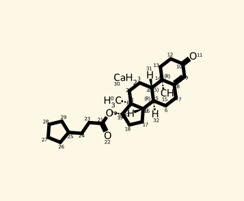 C[C@]12CC[C@H]3[C@@H](CCC4=CC(=O)CC[C@@]43C)[C@@H]1CC[C@@H]2OC(=O)CCC1CCCC1.[CaH2]